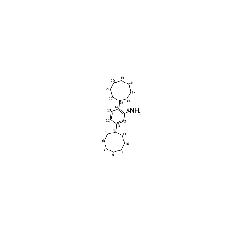 Nc1cc(C2CCCCCCC2)ccc1C1CCCCCCC1